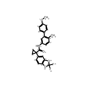 COc1ccc(-c2cc(NC(=O)C3(c4ccc5c(c4)OC(F)(F)O5)CC3)ccc2C)cc1